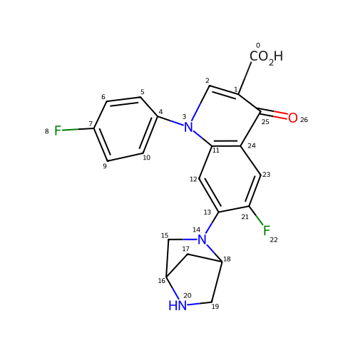 O=C(O)c1cn(-c2ccc(F)cc2)c2cc(N3CC4CC3CN4)c(F)cc2c1=O